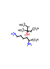 NCCCC[C@H](N)C(=O)O.O=C(O)CC(O)(CC(=O)O)C(=O)O